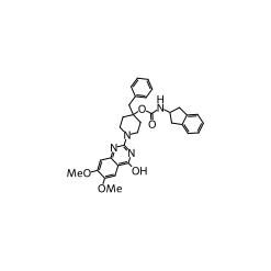 COc1cc2nc(N3CCC(Cc4ccccc4)(OC(=O)NC4Cc5ccccc5C4)CC3)nc(O)c2cc1OC